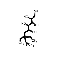 CCC(CC)(CC(O)C(O)C(O)C(O)CO)NC